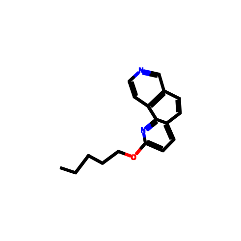 CCCCCOc1ccc2ccc3cnccc3c2n1